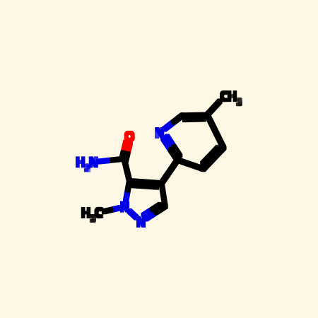 Cc1ccc(-c2cnn(C)c2C(N)=O)nc1